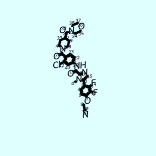 Cn1c(-c2ccc(OCC#N)c(F)c2F)cnc1C(=O)Nc1ccc(C(=O)N2CCC(C(=O)N3CCOCC3)CC2)c(Cl)c1